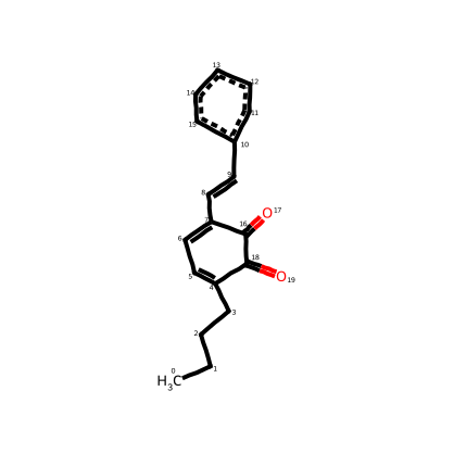 CCCCC1=CC=C(C=Cc2ccccc2)C(=O)C1=O